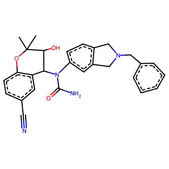 CC1(C)Oc2ccc(C#N)cc2C(N(C(N)=O)c2ccc3c(c2)CN(Cc2ccccc2)C3)C1O